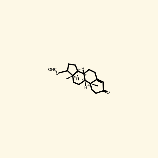 C[C@]12CCC(=O)C=C1CC[C@@H]1[C@H]2CC[C@]2(C)C(OC=O)CC[C@@H]12